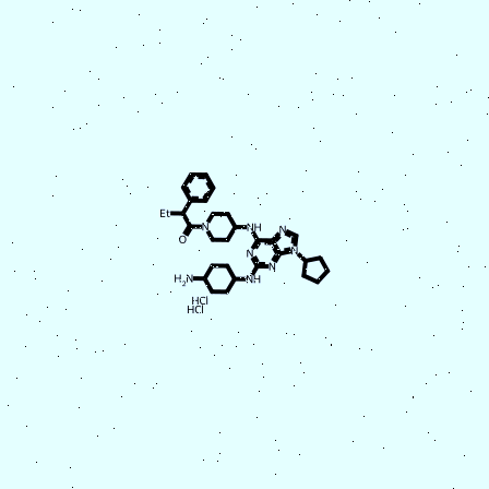 CCC(C(=O)N1CCC(Nc2nc(NC3CCC(N)CC3)nc3c2ncn3C2CCCC2)CC1)c1ccccc1.Cl.Cl